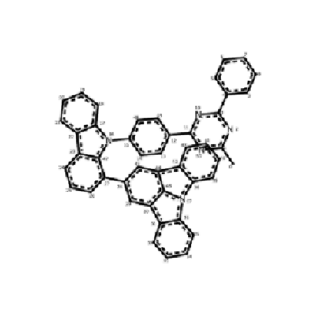 Cc1nc(-c2ccccc2)nc(-c2ccc(-n3c4ccccc4c4cccc(-c5cc6c7ccccc7n7c8ccccc8c(c5)c67)c43)cc2)n1